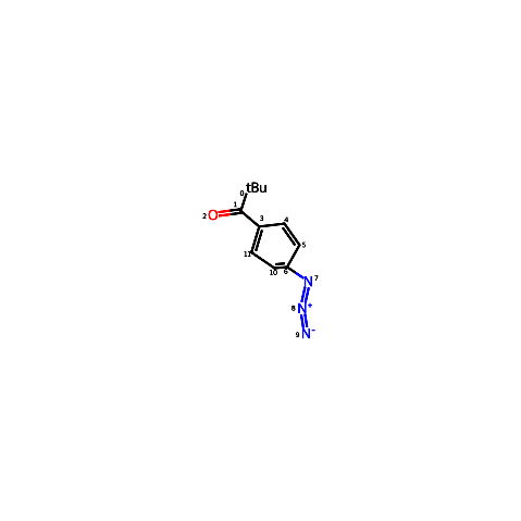 CC(C)(C)C(=O)c1ccc(N=[N+]=[N-])cc1